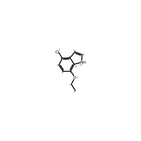 CCOc1ccc(Cl)c2cc[nH]c12